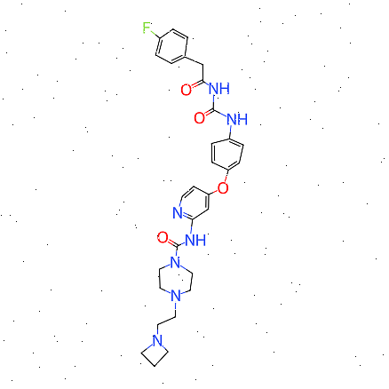 O=C(Cc1ccc(F)cc1)NC(=O)Nc1ccc(Oc2ccnc(NC(=O)N3CCN(CCN4CCC4)CC3)c2)cc1